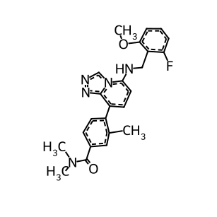 COc1cccc(F)c1CNc1ccc(-c2ccc(C(=O)N(C)C)cc2C)c2nncn12